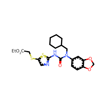 CCOC(=O)CSc1cnc(NC(=O)N(CC2CCCCC2)c2ccc3c(c2)OCO3)s1